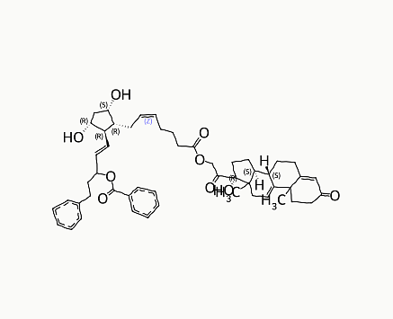 CC12CCC(=O)C=C1CC[C@@H]1C2=CCC2(C)[C@H]1CC[C@]2(O)C(=O)COC(=O)CCC/C=C\C[C@@H]1[C@@H](C=CC(CCc2ccccc2)OC(=O)c2ccccc2)[C@H](O)C[C@@H]1O